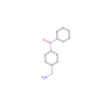 NCc1ccc([P](=O)c2ccccc2)cc1